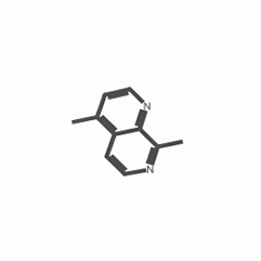 Cc1ccnc2c(C)nccc12